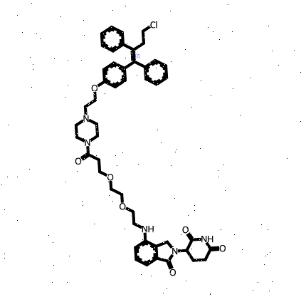 O=C1CCC(N2Cc3c(NCCOCCOCCC(=O)N4CCN(CCOc5ccc(/C(=C(/CCCl)c6ccccc6)c6ccccc6)cc5)CC4)cccc3C2=O)C(=O)N1